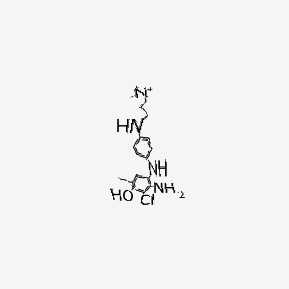 Cc1cc(Nc2ccc(NCCC[N+](C)(C)C)cc2)c(N)c(Cl)c1O